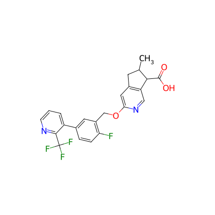 CC1Cc2cc(OCc3cc(-c4cccnc4C(F)(F)F)ccc3F)ncc2C1C(=O)O